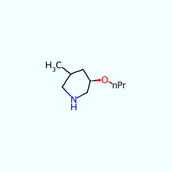 CCCO[C@H]1CNCC(C)C1